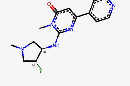 CN1C[C@@H](F)[C@H](Nc2nc(-c3ccncc3)cc(=O)n2C)C1